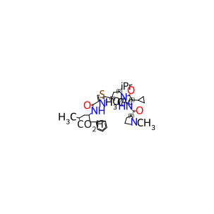 CC(=O)O[C@H](C[C@H](C(C)C)N(C)C(=O)[C@@H](NC(=O)[C@H]1CCCN1C)C1CC1)c1nc(C(=O)NC(Cc2ccccc2)CC(C)C(=O)O)cs1